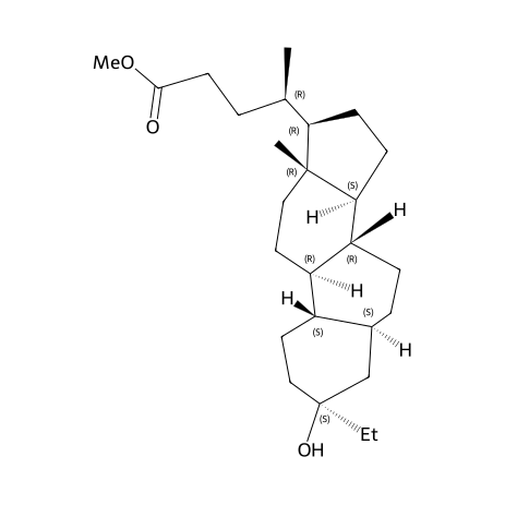 CC[C@]1(O)CC[C@H]2[C@@H](CC[C@@H]3[C@@H]2CC[C@]2(C)[C@@H]([C@H](C)CCC(=O)OC)CC[C@@H]32)C1